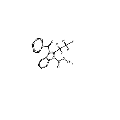 COC(=O)c1c(C(F)(F)C(F)(F)F)c(C(=O)c2ccccc2)n2ccccc12